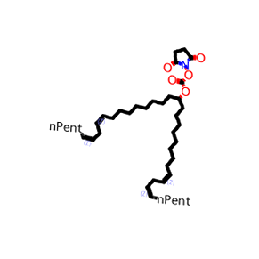 CCCCC/C=C\C/C=C\CCCCCCCCC(CCCCCCCC/C=C\C/C=C\CCCCC)OC(=O)ON1C(=O)CCC1=O